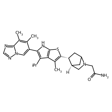 Cc1c(-c2[nH]c3sc([C@@H]4CC5C[C@H]4CN5CC(N)=O)c(C)c3c2C(C)C)cn2ncnc2c1C